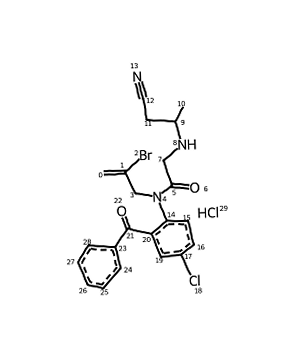 C=C(Br)CN(C(=O)CNC(C)CC#N)c1ccc(Cl)cc1C(=O)c1ccccc1.Cl